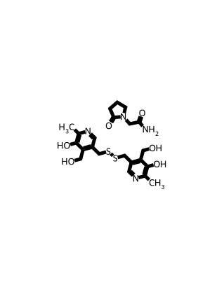 Cc1ncc(CSSCc2cnc(C)c(O)c2CO)c(CO)c1O.NC(=O)CN1CCCC1=O